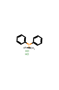 CCCC.Cl.Cl.c1ccc(Pc2ccccc2)cc1